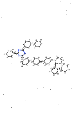 c1ccc(-c2cccc(-c3nc(-c4ccccc4)nc(-c4cccc(-c5ccc(-c6ccc(-c7cccc8c7-c7ccccc7C87CCCCC7)cc6)cc5)c4)n3)c2)cc1